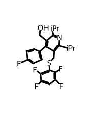 CC(C)c1nc(C(C)C)c(CSc2c(F)c(F)cc(F)c2F)c(-c2ccc(F)cc2)c1CO